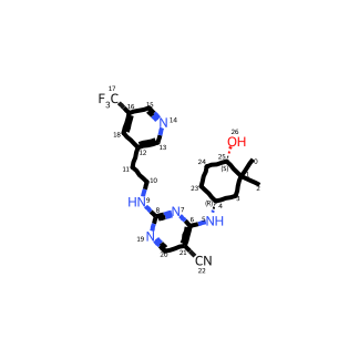 CC1(C)C[C@H](Nc2nc(NCCc3cncc(C(F)(F)F)c3)ncc2C#N)CC[C@@H]1O